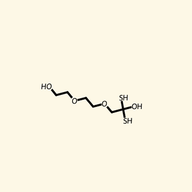 OCCOCCOCC(O)(S)S